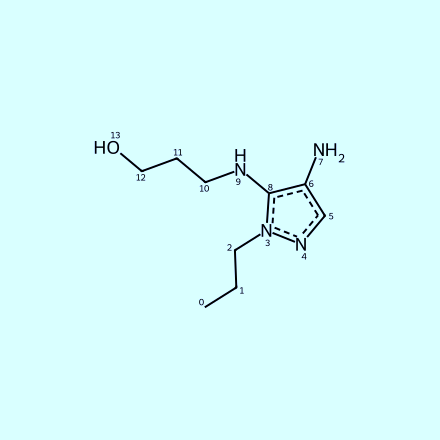 CCCn1ncc(N)c1NCCCO